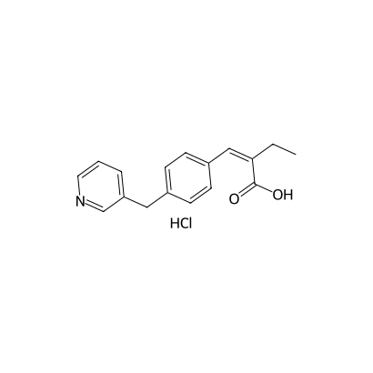 CCC(=Cc1ccc(Cc2cccnc2)cc1)C(=O)O.Cl